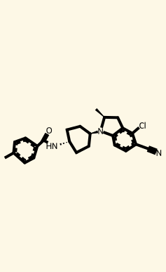 Cc1ccc(C(=O)N[C@H]2CC[C@H](N3c4ccc(C#N)c(Cl)c4C[C@@H]3C)CC2)cc1